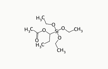 CCO[Si](OCC)(OCC)C(CC)OC(C)=O